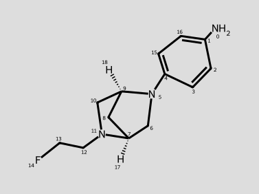 Nc1ccc(N2C[C@@H]3C[C@H]2CN3CCF)cc1